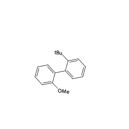 COc1ccccc1-c1ccccc1C(C)(C)C